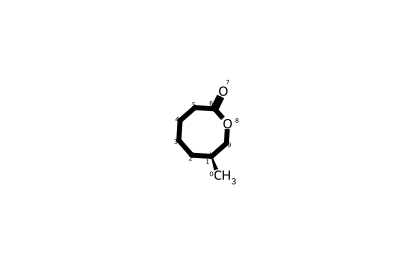 C[C@H]1CCCCC(=O)OC1